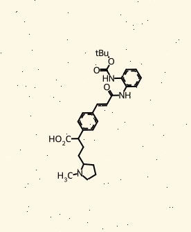 CN1CCCC1CCC(C(=O)O)c1ccc(C=CC(=O)Nc2ccccc2NC(=O)OC(C)(C)C)cc1